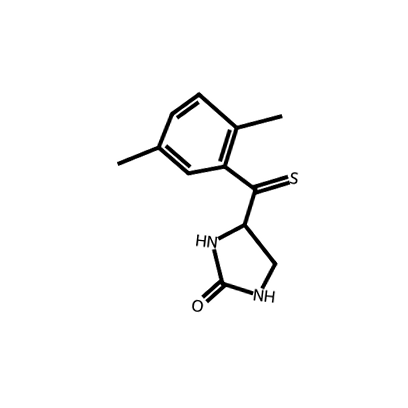 Cc1ccc(C)c(C(=S)C2CNC(=O)N2)c1